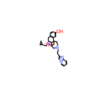 Oc1ccc2c(c1)C13CCN(CCc4cn5ccccc5n4)CCC1(O)C(C2)N(CC1CC1)CC3